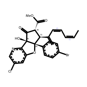 C=C(/C=C\C=C/C)[C@@H]1[C@@H](C(=O)OC)C(=O)[C@@]2(O)c3ncc(Cl)cc3O[C@@]12c1ccc(Br)cc1